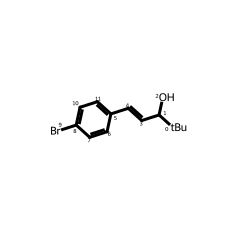 CC(C)(C)C(O)C=Cc1ccc(Br)cc1